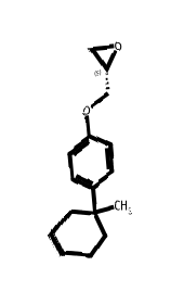 CC1(c2ccc(OC[C@@H]3CO3)cc2)CCCCC1